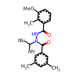 CCCC(N(NC(=O)c1cccc(OC)c1C)C(=O)c1cc(C)cc(C)c1)C(C)(C)C